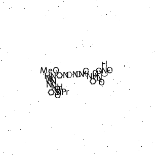 COc1cc(N2CCC(N3CCN(C(=O)CNc4cccc5c4C(=O)N(C4CCC(=O)NC4=O)C5=O)CC3)CC2)ccc1Nc1ncnc(Nc2ccccc2S(=O)(=O)C(C)C)n1